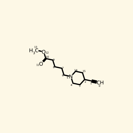 C#CC1CCN(CCCCC(=O)OC)CC1